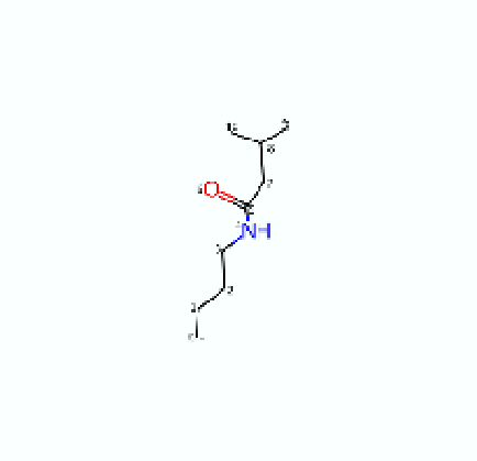 [CH2]CCCNC(=O)CC(C)C